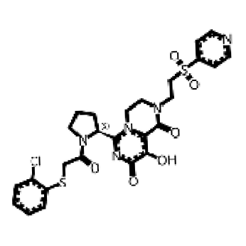 O=C1c2c(O)c(=O)nc([C@@H]3CCCN3C(=O)CSc3ccccc3Cl)n2CCN1CCS(=O)(=O)c1ccncc1